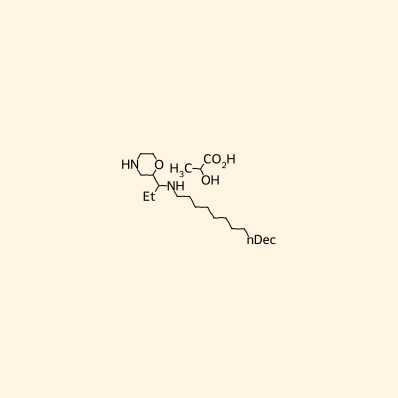 CC(O)C(=O)O.CCCCCCCCCCCCCCCCCCNC(CC)C1CNCCO1